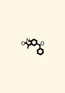 CC1=c2cc(C(=O)c3ccccc3)ccc2=NC1=O